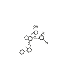 Cc1c(COc2cc(OCc3cc(C#N)c[n+]([O-])c3)c(CN3CCC[C@H]3CO)c3c2CCC3)cccc1-c1ccccc1